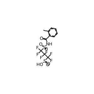 Cc1ccccc1C(=O)NS(=O)(=O)C(F)(F)C(F)(F)C(F)(F)S(=O)(=O)O